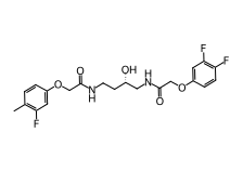 Cc1ccc(OCC(=O)NCC[C@H](O)CNC(=O)COc2ccc(F)c(F)c2)cc1F